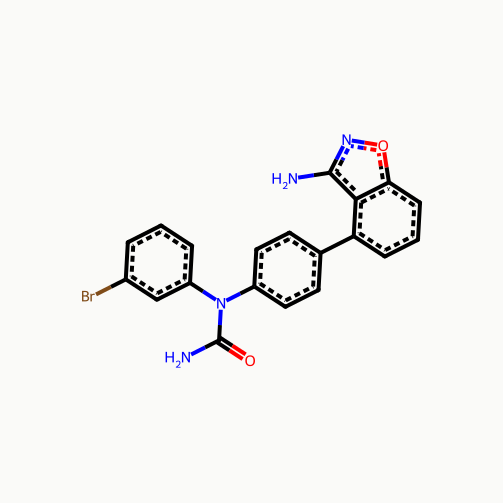 NC(=O)N(c1ccc(-c2cccc3onc(N)c23)cc1)c1cccc(Br)c1